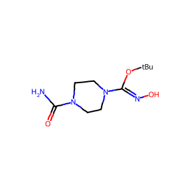 CC(C)(C)OC(=NO)N1CCN(C(N)=O)CC1